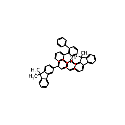 CC1(C)c2ccccc2-c2cc(-c3ccc(N(c4cccc(-c5ccccc5)c4-c4ccccc4-c4ccccc4)c4cccc5c4C(C)(C)c4ccccc4-5)cc3)ccc21